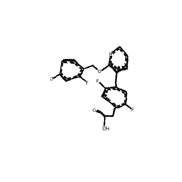 O=C(O)Cc1cc(F)c(-c2cccnc2OCc2ccc(Cl)cc2F)cc1F